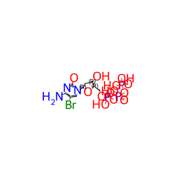 Nc1nc(=O)n([C@H]2C[C@@H](O)[C@@H](COP(=O)(O)OP(=O)(O)OP(=O)(O)O)O2)cc1Br